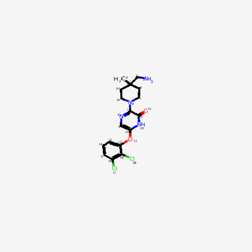 CC1(CN)CCN(c2ncc(Oc3cccc(Cl)c3Cl)[nH]c2=O)CC1